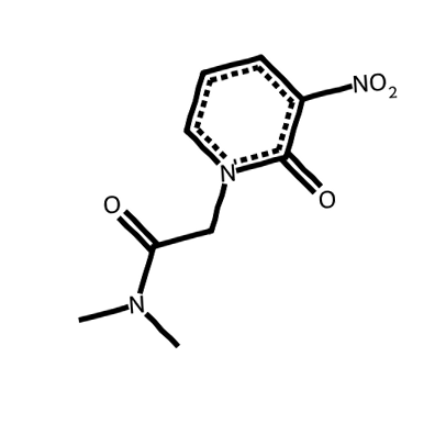 CN(C)C(=O)Cn1cccc([N+](=O)[O-])c1=O